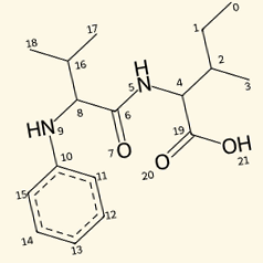 CCC(C)C(NC(=O)C(Nc1ccccc1)C(C)C)C(=O)O